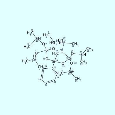 C[SiH](C)O[Si](O[SiH](C)C)(O[SiH](C)C)O[Si](C)(O[Si](O[SiH](C)C)(O[SiH](C)C)O[SiH](C)C)c1ccccc1